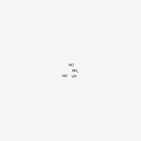 Cl.Cl.[AlH3].[LiH]